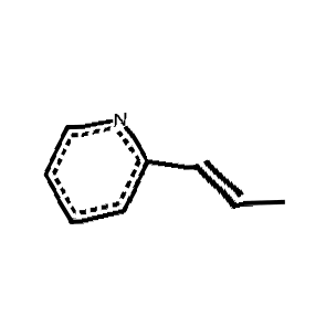 C/C=C/c1ccccn1